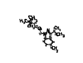 Cc1ccc2c(c1)c(C(C)C)nn2COCC[Si](C)(C)C